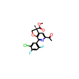 COC(=O)[C@@]1(C)COc2c1cc(C(C)=O)nc2-c1cc(Cl)c(F)cc1F